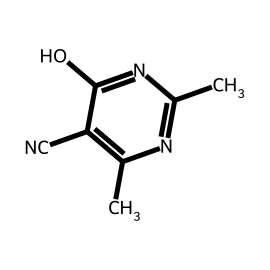 Cc1nc(C)c(C#N)c(O)n1